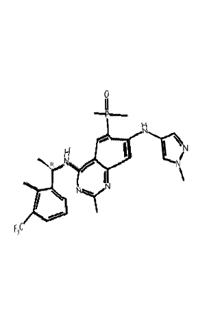 Cc1nc(N[C@H](C)c2cccc(C(F)(F)F)c2C)c2cc(P(C)(C)=O)c(Nc3cnn(C)c3)cc2n1